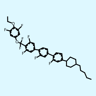 CCCCCC1CCC(c2ccc(-c3ccc(-c4cc(F)c(C(F)(F)Oc5cc(F)c(OCC)c(F)c5)c(F)c4)c(F)c3)c(F)c2)CC1